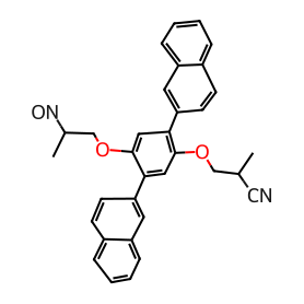 CC(C#N)COc1cc(-c2ccc3ccccc3c2)c(OCC(C)N=O)cc1-c1ccc2ccccc2c1